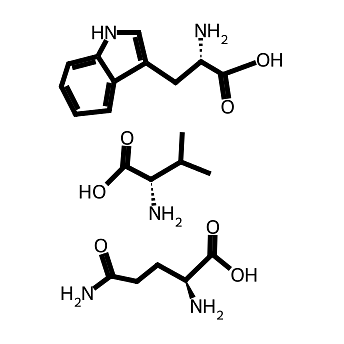 CC(C)[C@H](N)C(=O)O.NC(=O)CC[C@H](N)C(=O)O.N[C@@H](Cc1c[nH]c2ccccc12)C(=O)O